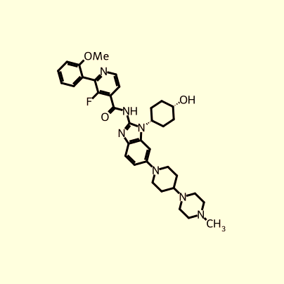 COc1ccccc1-c1nccc(C(=O)Nc2nc3ccc(N4CCC(N5CCN(C)CC5)CC4)cc3n2[C@H]2CC[C@@H](O)CC2)c1F